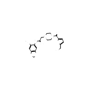 CC(=O)c1cc2c(cc1NC(=O)CN1CCN(C(=O)c3ccc(CO)o3)CC1)OCO2